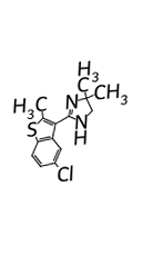 Cc1sc2ccc(Cl)cc2c1C1=NC(C)(C)CN1